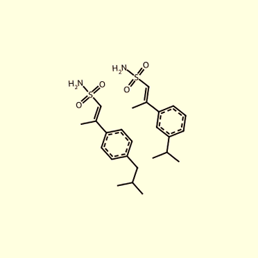 C/C(=C\S(N)(=O)=O)c1ccc(CC(C)C)cc1.C/C(=C\S(N)(=O)=O)c1cccc(C(C)C)c1